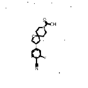 N#Cc1ccc([C@@H]2COC3(CCN(C(=O)O)CC3)C2)cc1F